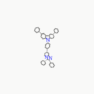 c1ccc(-c2ccc3c(c2)c2cc(-c4ccccc4)ccc2n3-c2ccc(-c3ccn4c(-c5ccccc5)c(-c5ccccc5)nc4c3)cc2)cc1